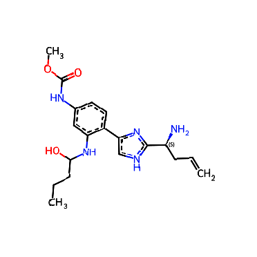 C=CC[C@H](N)c1nc(-c2ccc(NC(=O)OC)cc2NC(O)CCC)c[nH]1